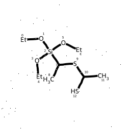 CCO[Si](OCC)(OCC)C(C)SC(C)S